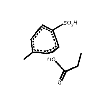 CCC(=O)O.Cc1ccc(S(=O)(=O)O)cc1